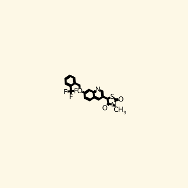 CN1C(=O)SC(c2cnc3cc(OCc4ccccc4C(F)(F)F)ccc3c2)C1=O